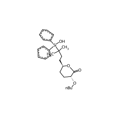 CCCCO[C@@H]1CC[C@@H](CCC(C)(C)[Si](O)(c2ccccc2)c2ccccc2)OC1=O